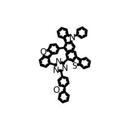 c1ccc(-n2c3ccccc3c3c(-c4ccc5oc6cccc(-c7nc(-c8ccc9c(c8)oc8ccccc89)nc(-c8cccc9c8sc8ccccc89)n7)c6c5c4)cccc32)cc1